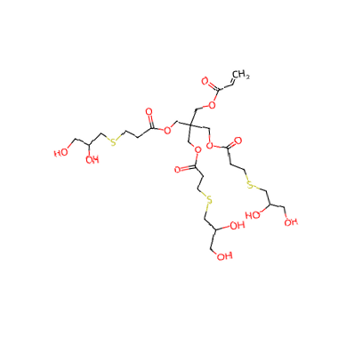 C=CC(=O)OCC(COC(=O)CCSCC(O)CO)(COC(=O)CCSCC(O)CO)COC(=O)CCSCC(O)CO